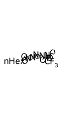 CCCCCCOC(=O)N1CCN(c2ccc(NC(=O)c3nc(-c4ccccc4)oc3C(F)(F)F)cn2)CC1